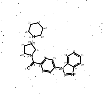 O=C(c1ccc(-n2cnc3ccccc32)cc1)N1CC[C@H](N2CCCCC2)C1